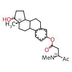 CN[C@@H](CC(=O)Oc1ccc2c(c1)CCC1C2CC[C@@]2(C)C1CC[C@@H]2O)C(C)=O